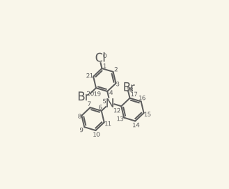 Clc1ccc(N(c2ccccc2)c2ccccc2Br)c(Br)c1